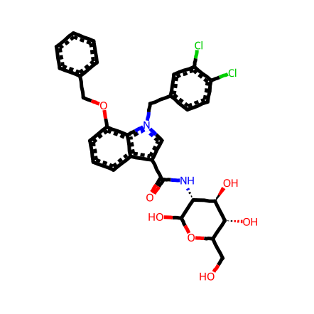 O=C(N[C@H]1C(O)OC(CO)[C@@H](O)[C@@H]1O)c1cn(Cc2ccc(Cl)c(Cl)c2)c2c(OCc3ccccc3)cccc12